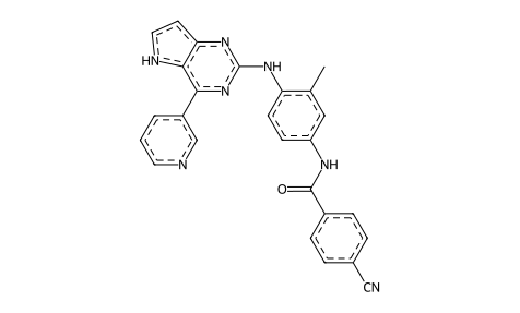 Cc1cc(NC(=O)c2ccc(C#N)cc2)ccc1Nc1nc(-c2cccnc2)c2[nH]ccc2n1